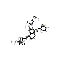 C=C/C=C\C(=C)Nc1nc(NCc2ccccc2)c2c(n1)[C@@H](OCCO[Si](C)(C)C(C)(C)C)CCC2